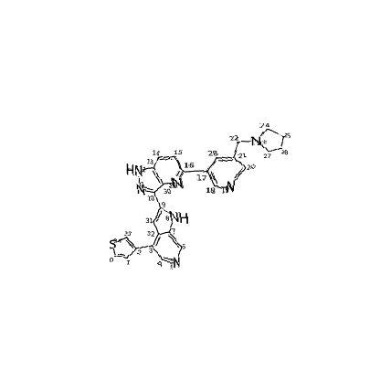 c1cc(-c2cncc3[nH]c(-c4n[nH]c5ccc(-c6cncc(CN7CCCC7)c6)nc45)cc23)cs1